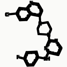 Fc1ccc(Nc2ccnc(N3CCN(c4ccnc5cc(Cl)ccc45)CC3)n2)cc1